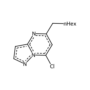 CCCCCCCc1cc(Cl)n2nccc2n1